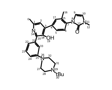 Cc1cc(-c2ccc(-n3ccn(C)c3=O)c(C)c2)c(O)c(-c2cccc(N3CCN(C(C)(C)C)CC3)c2)n1